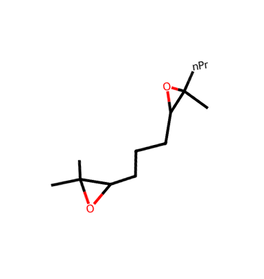 CCCC1(C)OC1CCCC1OC1(C)C